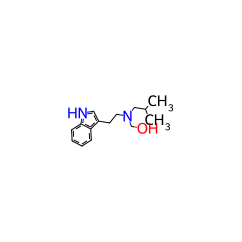 CC(C)CN(CO)CCc1c[nH]c2ccccc12